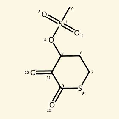 CS(=O)(=O)OC1CCSC(=O)C1=O